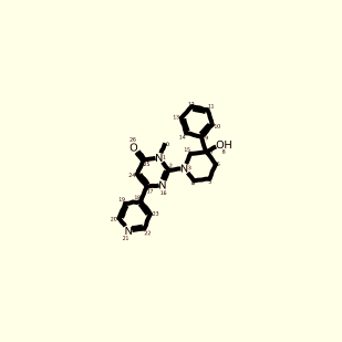 Cn1c(N2CCCC(O)(c3ccccc3)C2)nc(-c2ccncc2)cc1=O